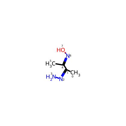 CC(=N/N)/C(C)=N/O